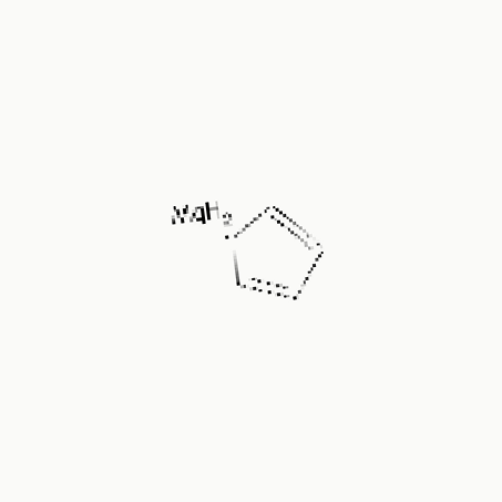 [CH]1C=CC=C1.[MgH2]